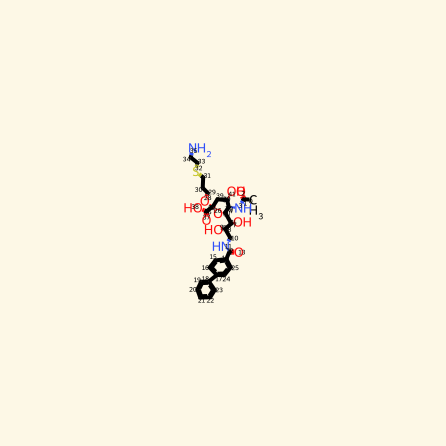 CC(=O)N[C@H]1[C@H]([C@H](O)[C@H](O)CNC(=O)c2ccc(-c3ccccc3)cc2)O[C@@](OCCCSCCN)(C(=O)O)C[C@@H]1O